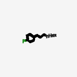 [CH2]CCCCCCCCc1ccc(F)cc1